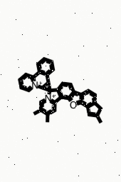 CC1=Cc2c(ccc3c2oc2c4c(ccc23)C2(C3c5ccccc5-c5cccc[n+]5C32)[n+]2cc(C)c(C)cc2-4)C1